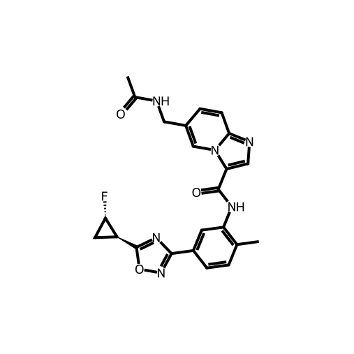 CC(=O)NCc1ccc2ncc(C(=O)Nc3cc(-c4noc([C@H]5C[C@@H]5F)n4)ccc3C)n2c1